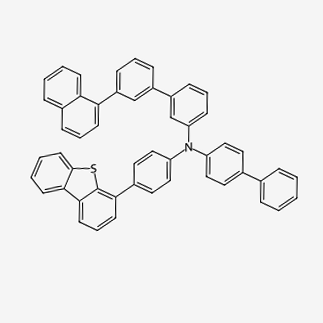 c1ccc(-c2ccc(N(c3ccc(-c4cccc5c4sc4ccccc45)cc3)c3cccc(-c4cccc(-c5cccc6ccccc56)c4)c3)cc2)cc1